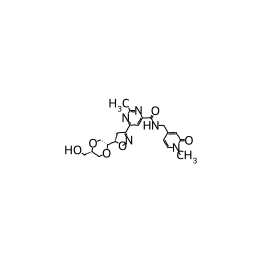 Cc1nc(C(=O)NCc2ccn(C)c(=O)c2)cc(C2=NO[C@@H]([C@H]3CO[C@H](CO)CO3)C2)n1